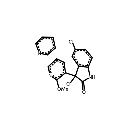 COc1ncccc1C1(Cl)C(=O)Nc2ccc(Cl)cc21.c1ccncc1